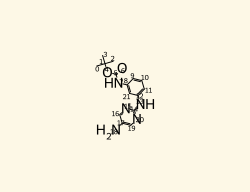 CC(C)(C)OC(=O)Nc1cccc(Nc2ncc(N)cn2)c1